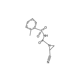 Cc1ccccc1S(=O)(=O)NC(=O)N1CC1C#N